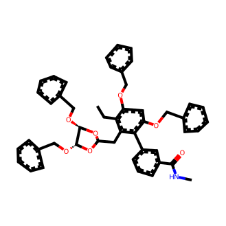 CCc1c(OCc2ccccc2)cc(OCc2ccccc2)c(-c2cccc(C(=O)NC)c2)c1CC1O[C@H](OCc2ccccc2)[C@@H](OCc2ccccc2)O1